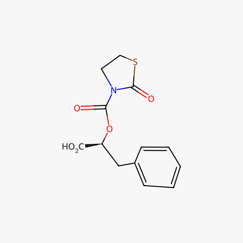 O=C(O)[C@H](Cc1ccccc1)OC(=O)N1CCSC1=O